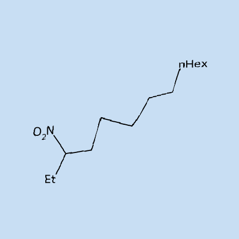 CCCCCCCCCCCC(CC)[N+](=O)[O-]